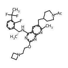 CC(=O)N1CCC(Cc2cc3c(N[C@H](C)c4cccc(C(C)(F)F)c4F)nc(OCCN4CCC4)nc3nc2C)CC1